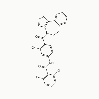 O=C(Nc1ccc(C(=O)N2CCc3ccccc3-c3sccc32)c(Cl)c1)c1c(F)cccc1Cl